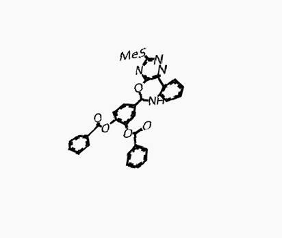 CSc1nnc2c(n1)OC(c1ccc(OC(=O)c3ccccc3)c(OC(=O)c3ccccc3)c1)Nc1ccccc1-2